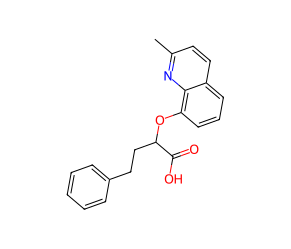 Cc1ccc2cccc(OC(CCc3ccccc3)C(=O)O)c2n1